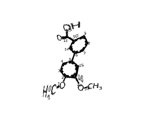 COc1ccc(-c2cccc(C(=O)O)c2)cc1OC